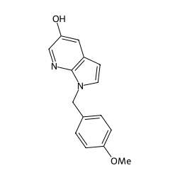 COc1ccc(Cn2ccc3cc(O)cnc32)cc1